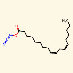 CCCCC/C=C\C/C=C\CCCCCCCC(=O)ON=[N+]=[N-]